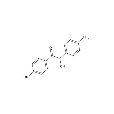 Cc1ccc(C(O)C(=O)c2ccc(Br)cc2)cc1